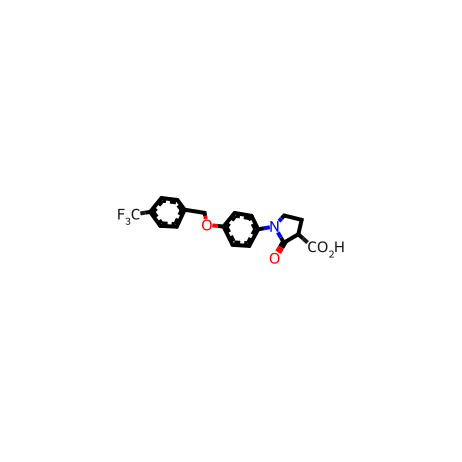 O=C(O)C1CCN(c2ccc(OCc3ccc(C(F)(F)F)cc3)cc2)C1=O